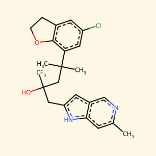 Cc1cc2[nH]c(CC(O)(CC(C)(C)c3cc(Cl)cc4c3OCC4)C(F)(F)F)cc2cn1